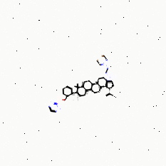 C=C(C)[C@@H]1CC[C@]2(NCCN3CCSCC3)CC[C@]3(C)[C@H](CC[C@@H]4[C@@]5(C)CC=C(C6(CC)C=CCCC6(COc6ncccn6)C(=O)O)C(C)(C)[C@@H]5CC[C@]43C)[C@@H]12